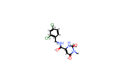 Cn1c(=O)cc(C(=O)NCc2ccc(Cl)cc2Cl)[nH]c1=O